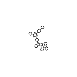 c1ccc(-c2ccc(-c3nc(-c4ccccc4)nc(-c4ccc(-n5c6ccccc6c6c7c(ccc65)C5(c6ccccc6-c6ccccc65)c5ccccc5-7)cc4)n3)cc2)cc1